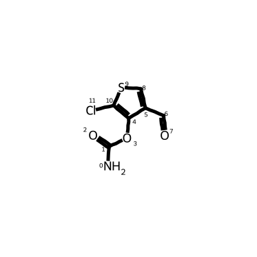 NC(=O)Oc1c(C=O)csc1Cl